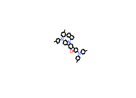 Cc1ccc(N(c2ccc(C)cc2)c2ccc3c(c2)oc2cc4c5ccc(N(c6ccc(C)cc6)c6ccc(C)cc6)cc5n(-c5cccc6ccccc56)c4cc23)cc1